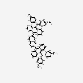 Cc1ccc(N(c2ccc(C)cc2)c2c3ccccc3c(-c3ccc4ccc(-c5c6ccccc6c(N(c6ccc(C)cc6)c6ccc(C)cc6)c6ccccc56)cc4c3)c3ccccc23)cc1